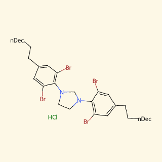 CCCCCCCCCCCCc1cc(Br)c(N2CCN(c3c(Br)cc(CCCCCCCCCCCC)cc3Br)C2)c(Br)c1.Cl